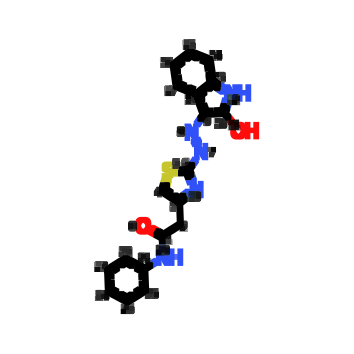 O=C(Cc1csc(N=Nc2c(O)[nH]c3ccccc23)n1)Nc1ccccc1